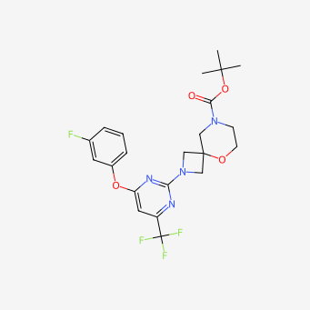 CC(C)(C)OC(=O)N1CCOC2(C1)CN(c1nc(Oc3cccc(F)c3)cc(C(F)(F)F)n1)C2